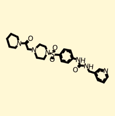 O=C(NCc1cccnc1)Nc1ccc(S(=O)(=O)N2CCN(CC(=O)N3CCCCC3)CC2)cc1